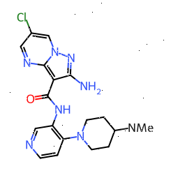 CNC1CCN(c2ccncc2NC(=O)c2c(N)nn3cc(Cl)cnc23)CC1